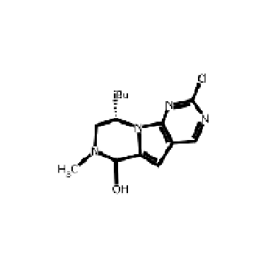 CCC(C)[C@H]1CN(C)C(O)c2cc3cnc(Cl)nc3n21